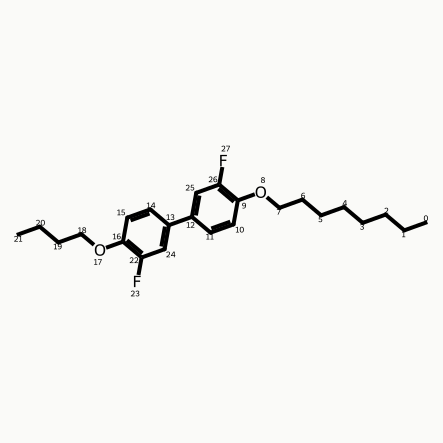 CCCCCCCCOc1ccc(-c2ccc(OCCCC)c(F)c2)cc1F